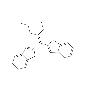 CCCC(CCC)=C(C1=Cc2ccccc2C1)C1=Cc2ccccc2C1